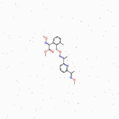 CO/N=C(\C)c1cccc(/C(C)=N/OCc2c(C)cccc2/C(=N\OC)C(=O)OC)n1